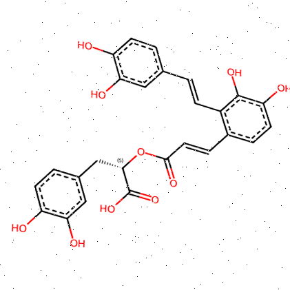 O=C(C=Cc1ccc(O)c(O)c1C=Cc1ccc(O)c(O)c1)O[C@@H](Cc1ccc(O)c(O)c1)C(=O)O